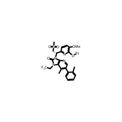 CCOc1nc([C@@H](CS(C)(=O)=O)n2c(=O)n(CC(F)(F)F)c3c(C)c(-c4ccccc4C)cnc32)ccc1OC